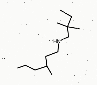 CCCC(C)CCNCC(C)(C)CC